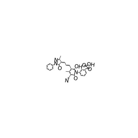 CC1=NN(c2ccccc2)C(=O)C1=CC=Cc1c(C)c(C#N)c(=O)n(-c2cccc(S(=O)(=O)O)c2)c1O